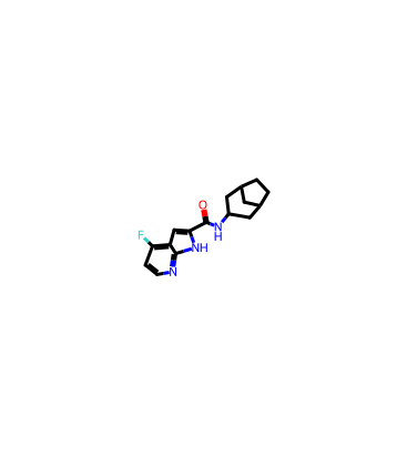 O=C(NC1CC2CCC(C2)C1)c1cc2c(F)ccnc2[nH]1